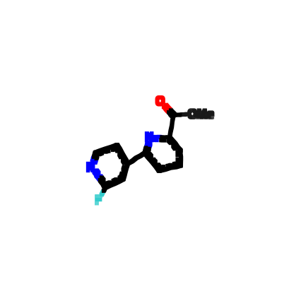 COC(=O)c1cccc(-c2ccnc(F)c2)n1